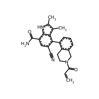 C=CC(=O)N1CCc2c(cccc2-c2c(C#N)cc(C(N)=O)c3[nH]c(C)c(C)c23)C1